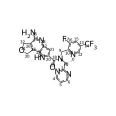 C[C@H](c1ncccn1)N(Cc1ncc(C(F)(F)F)cc1F)C(=O)c1cc2nc(N)c3c(c2[nH]1)COC3